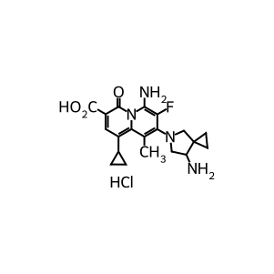 Cc1c(N2CC(N)C3(CC3)C2)c(F)c(N)n2c(=O)c(C(=O)O)cc(C3CC3)c12.Cl